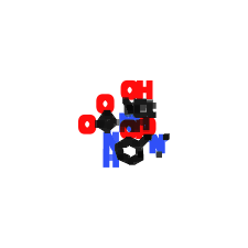 CC[C@H](CO)Nc1c(Nc2cccc(C(=O)N(C)C)c2O)c(=O)c1=O